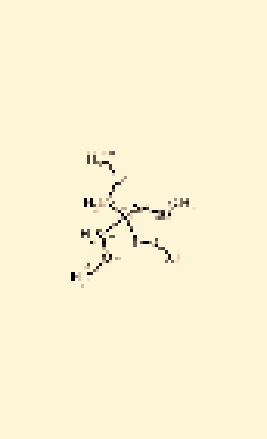 CO[SiH2]C(CCCl)([SiH2]OC)[SiH2]OC